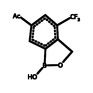 CC(=O)c1cc2c(c(C(F)(F)F)c1)COB2O